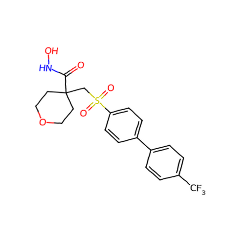 O=C(NO)C1(CS(=O)(=O)c2ccc(-c3ccc(C(F)(F)F)cc3)cc2)CCOCC1